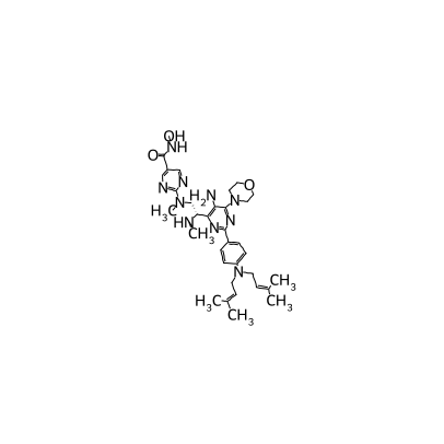 CN[C@H](CN(C)c1ncc(C(=O)NO)cn1)c1nc(-c2ccc(N(CC=C(C)C)CC=C(C)C)cc2)nc(N2CCOCC2)c1N